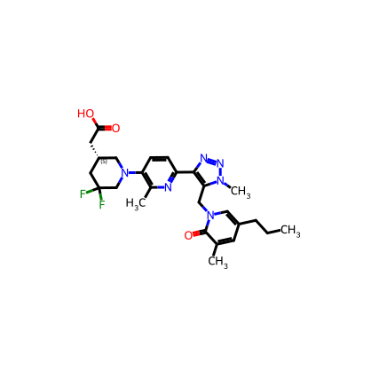 CCCc1cc(C)c(=O)n(Cc2c(-c3ccc(N4C[C@@H](CC(=O)O)CC(F)(F)C4)c(C)n3)nnn2C)c1